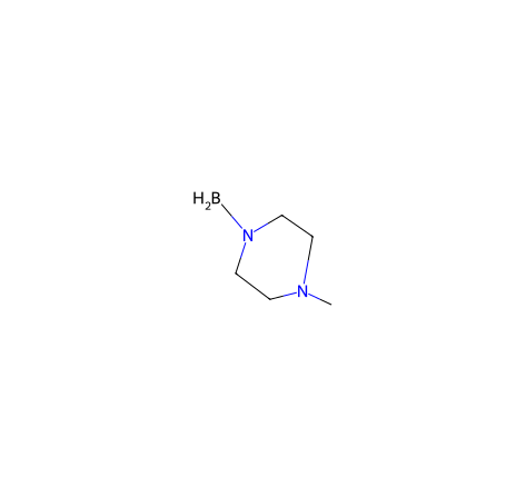 BN1CCN(C)CC1